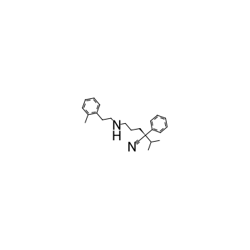 Cc1ccccc1CCNCCC[C@@](C#N)(c1ccccc1)C(C)C